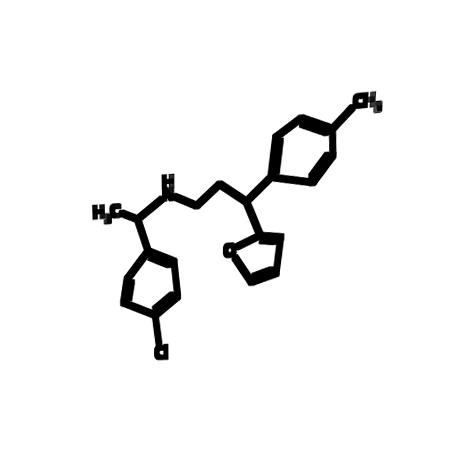 Cc1ccc(C(CCNC(C)c2ccc(Cl)cc2)c2ccco2)cc1